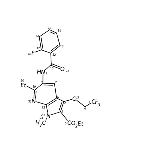 CCOC(=O)c1c(OCC(F)(F)F)c2cc(NC(=O)c3ccccc3F)c(CC)nc2n1C